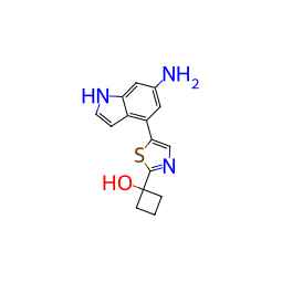 Nc1cc(-c2cnc(C3(O)CCC3)s2)c2cc[nH]c2c1